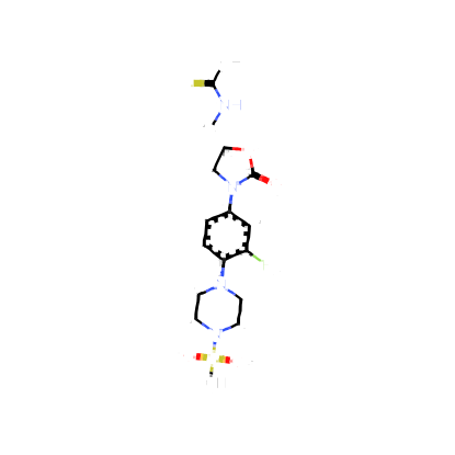 CC(=S)NC[C@H]1CN(c2ccc(N3CCN(S(C)(=O)=O)CC3)c(F)c2)C(=O)O1